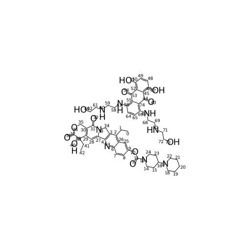 CCc1c2c(nc3ccc(OC(=O)N4CCC(N5CCCCC5)CC4)cc13)-c1cc3c(c(=O)n1C2)COC(=O)[C@]3(O)CC.O=C1c2c(O)ccc(O)c2C(=O)c2c(NCCNCCO)ccc(NCCNCCO)c21